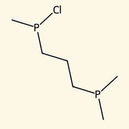 CP(C)CCCP(C)Cl